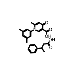 CC(CC(=O)O)c1ccccc1.Cc1cc(C)cc(-n2cc(C(=O)O)c(=O)cc2C)c1